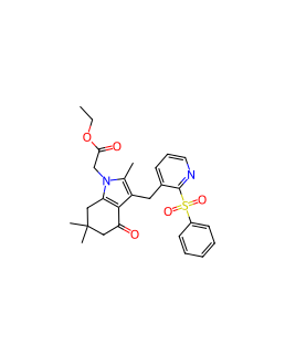 CCOC(=O)Cn1c(C)c(Cc2cccnc2S(=O)(=O)c2ccccc2)c2c1CC(C)(C)CC2=O